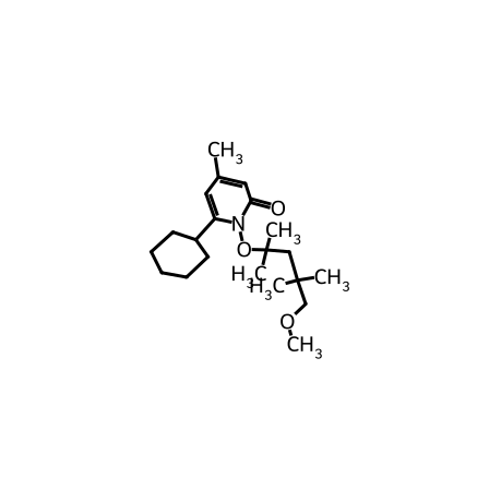 COCC(C)(C)CC(C)(C)On1c(C2CCCCC2)cc(C)cc1=O